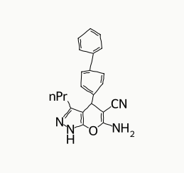 CCCc1n[nH]c2c1C(c1ccc(-c3ccccc3)cc1)C(C#N)=C(N)O2